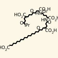 CC(C)C(=O)CC[C@H](CCCC(=O)CCC(NC(=O)CCC(NC(=O)CC[C@@H](CCC(=O)CCCCCCCCCCCCCCCCC(=O)O)C(=O)O)C(=O)O)C(=O)O)C(=O)O